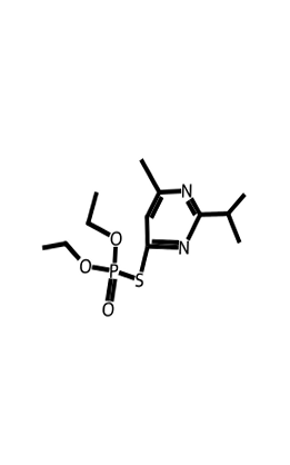 CCOP(=O)(OCC)Sc1cc(C)nc(C(C)C)n1